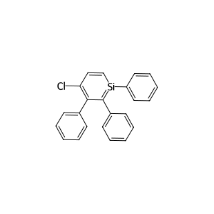 Clc1cc[si](-c2ccccc2)c(-c2ccccc2)c1-c1ccccc1